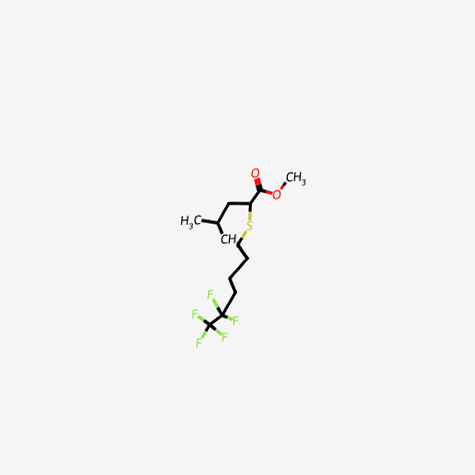 COC(=O)C(CC(C)C)SCCCCC(F)(F)C(F)(F)F